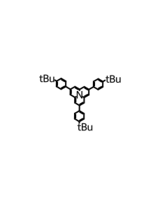 CC(C)(C)c1ccc(C2=CC3=CC(c4ccc(C(C)(C)C)cc4)=CC4=CC(c5ccc(C(C)(C)C)cc5)=CC(=C2)N34)cc1